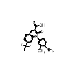 Cc1cc(-n2c(=O)c(C(=O)O)cc3ccc(C(F)(F)F)cc32)ccc1N